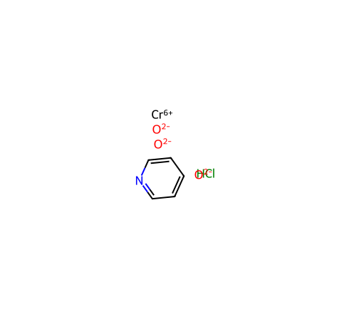 Cl.[Cr+6].[O-2].[O-2].[O-2].c1ccncc1